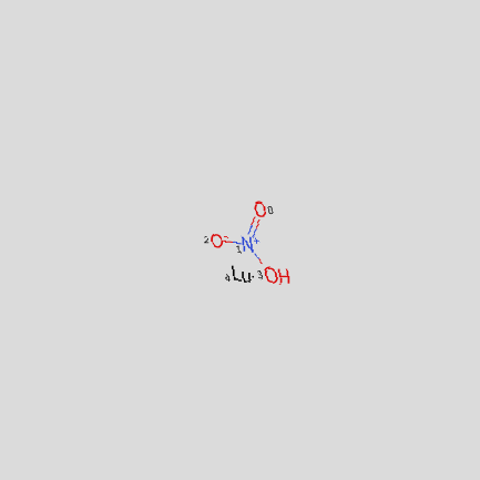 O=[N+]([O-])O.[Lu]